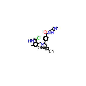 COc1cc(C)c2[nH]cc(Cl)c2c1CN1CCC2(CC(C#N)C2)CC1c1ccc(C(=O)NCC2CN(C)C2)cc1